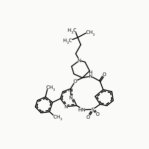 Cc1cccc(C)c1-c1cc2nc(n1)NS(=O)(=O)c1cccc(c1)C(=O)NC1(CCN(CCC(C)(C)C)CC1)O2